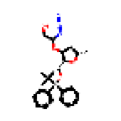 C[C@H]1CC(OC(CO)N=[N+]=[N-])[C@@H](CO[Si](c2ccccc2)(c2ccccc2)C(C)(C)C)O1